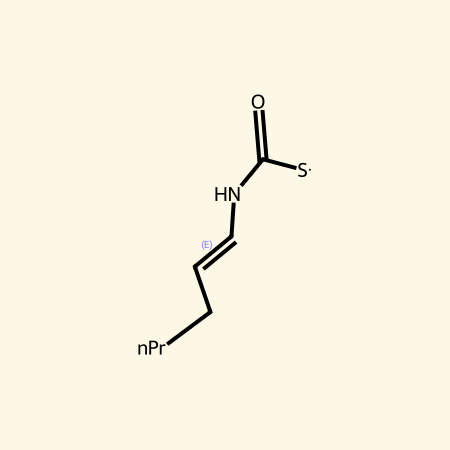 CCCC/C=C/NC(=O)[S]